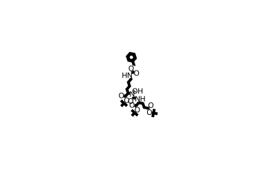 CC(C)(C)OC(=O)CCC(NC(=O)N(O)C(CCCCNC(=O)OCc1ccccc1)C(=O)OC(C)(C)C)C(=O)OC(C)(C)C